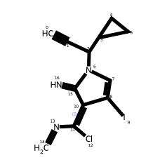 C#CC(C1CC1)N1C=C(I)/C(=C(\Cl)N=C)C1=N